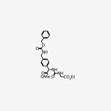 CCOC(=O)CNC(=O)N[C@@H](C(=O)OC)c1ccc(CNC(=O)OCc2ccccc2)cc1